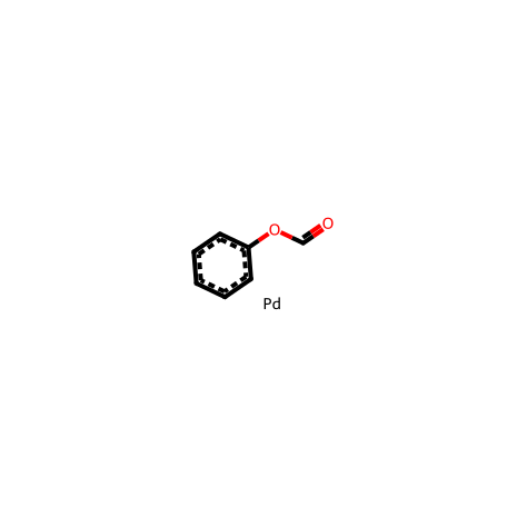 O=COc1ccccc1.[Pd]